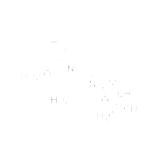 COc1ccccc1N1CCN(C(=O)OC(C)(C)C)CC(C)C1